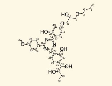 CCCCOCC(O)COc1ccc(-c2nc(-c3ccc(OC)cc3)nc(-c3ccc(C(O)C(O)CC)cc3O)n2)c(O)c1